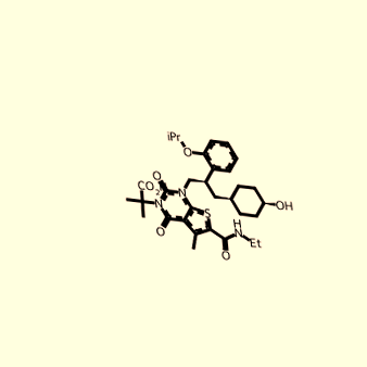 CCNC(=O)c1sc2c(c1C)c(=O)n(C(C)(C)C(=O)O)c(=O)n2C[C@H](C[C@H]1CC[C@@H](O)CC1)c1ccccc1OC(C)C